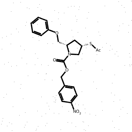 CC(=O)S[C@H]1C[C@@H](COc2ccccc2)N(C(=O)OCc2ccc([N+](=O)[O-])cc2)C1